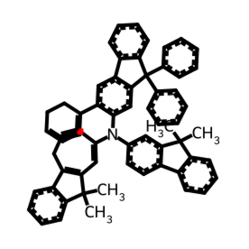 CC1(C)C2=C(CC#CC(N(c3ccc4c(c3)C(C)(C)c3ccccc3-4)c3cc4c(cc3C3=CC=CCC3)-c3ccccc3C4(c3ccccc3)c3ccccc3)=C2)c2ccccc21